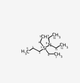 CCC[Si](CC)(CC)N(CC)CC